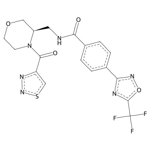 O=C(NC[C@@H]1COCCN1C(=O)c1csnn1)c1ccc(-c2noc(C(F)(F)F)n2)cc1